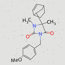 COc1ccc(CN2C(=O)N(C)C(C)(C3CC4C=CC3CC4)C2=O)cc1